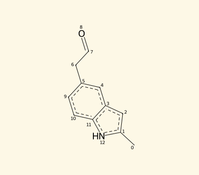 Cc1cc2cc(CC=O)ccc2[nH]1